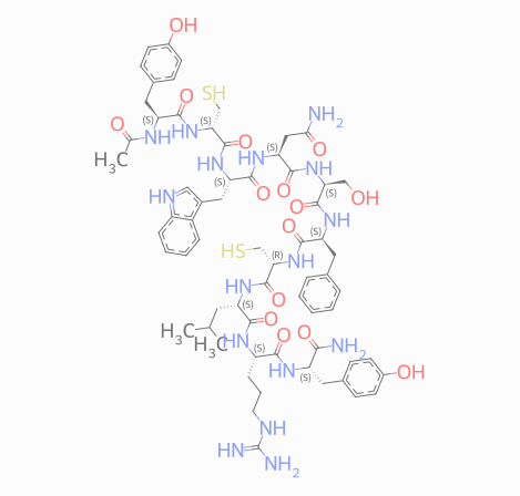 CC(=O)N[C@@H](Cc1ccc(O)cc1)C(=O)N[C@H](CS)C(=O)N[C@@H](Cc1c[nH]c2ccccc12)C(=O)N[C@@H](CC(N)=O)C(=O)N[C@@H](CO)C(=O)N[C@@H](Cc1ccccc1)C(=O)N[C@@H](CS)C(=O)N[C@@H](CC(C)C)C(=O)N[C@@H](CCCNC(=N)N)C(=O)N[C@@H](Cc1ccc(O)cc1)C(N)=O